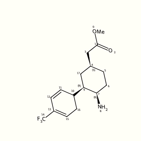 COC(=O)C[C@H]1CC[C@@H](N)[C@@H](C2C=CC(C(F)(F)F)=CC2)C1